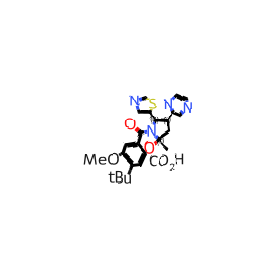 COc1cc(C(=O)N2[C@@H](c3cncs3)[C@@H](c3cnccn3)C[C@]2(C)OC(=O)O)ccc1C(C)(C)C